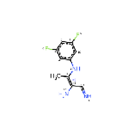 C/C(Nc1cc(F)cc(F)c1)=C(\N)C=N